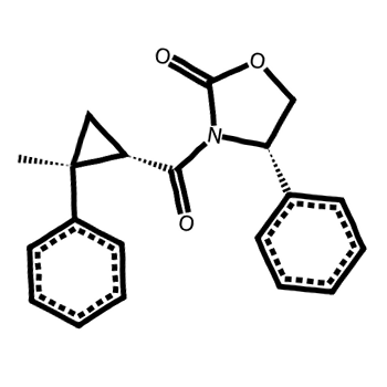 C[C@]1(c2ccccc2)C[C@@H]1C(=O)N1C(=O)OC[C@@H]1c1ccccc1